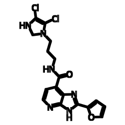 O=C(NCCCN1CNC(Cl)=C1Cl)c1ccnc2[nH]c(-c3ccco3)nc12